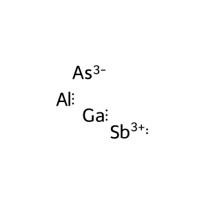 [Al].[As-3].[Ga].[Sb+3]